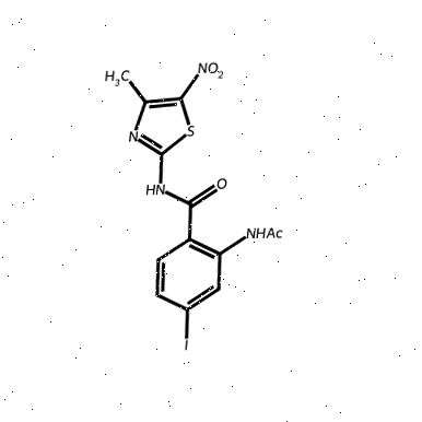 CC(=O)Nc1cc(I)ccc1C(=O)Nc1nc(C)c([N+](=O)[O-])s1